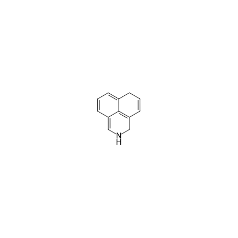 C1=CC2=c3c(cccc3=CNC2)C1